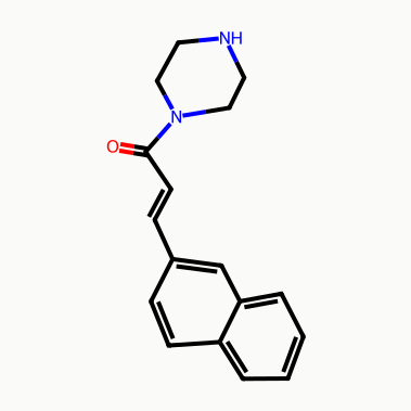 O=C(C=Cc1ccc2ccccc2c1)N1CCNCC1